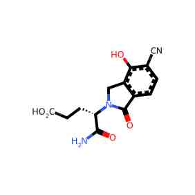 N#Cc1ccc2c(c1O)CN([C@@H](CCC(=O)O)C(N)=O)C2=O